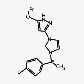 CC(C)Oc1cc(N2C=CN([C@@H](C)c3ccc(F)cc3)C2)n[nH]1